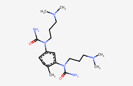 Cc1ccc(N(CCCN(C)C)C(N)=O)cc1N(CCCN(C)C)C(N)=O